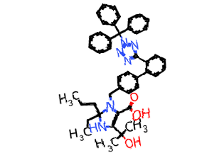 CCCC1(CC)NC(C(C)(C)O)=C(C(=O)O)N1Cc1ccc(-c2ccccc2-c2nnn(C(c3ccccc3)(c3ccccc3)c3ccccc3)n2)cc1